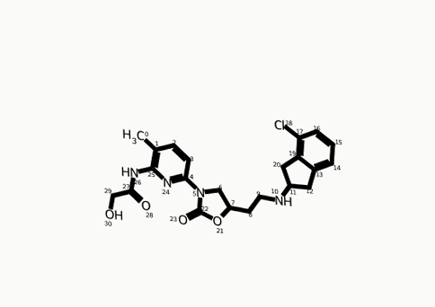 Cc1ccc(N2CC(CCNC3Cc4cccc(Cl)c4C3)OC2=O)nc1NC(=O)CO